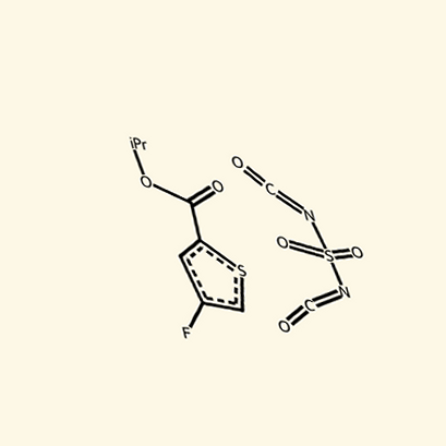 CC(C)OC(=O)c1cc(F)cs1.O=C=NS(=O)(=O)N=C=O